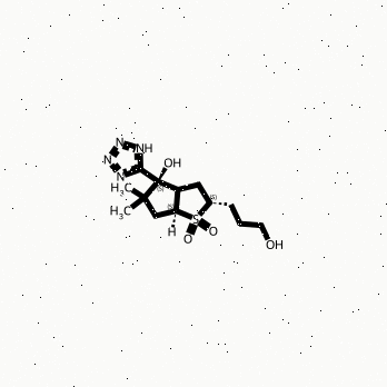 CC1(C)C[C@H]2C(C[C@H](CCCO)S2(=O)=O)[C@@]1(O)c1nnn[nH]1